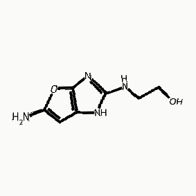 Nc1cc2[nH]c(NCCO)nc2o1